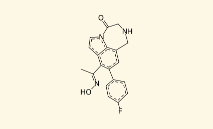 CC(=NO)c1c(-c2ccc(F)cc2)cc2c3c1ccn3C(=O)CNC2